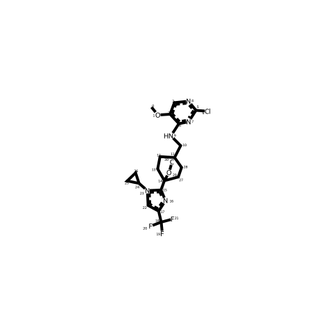 COc1cnc(Cl)nc1NCC12CCC(c3nc(C(F)(F)F)cn3C3CC3)(CC1)OC2